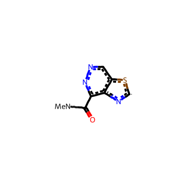 CNC(=O)c1nncc2s[c]nc12